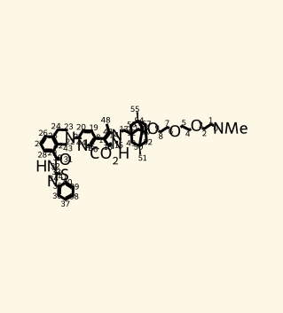 CNCCOCCOCCOC12CC3(Cn4ncc(-c5ccc(N6CCc7cccc(C(=O)Nc8nc9ccccc9s8)c7C6)nc5C(=O)O)c4C)C[C@@](C)(C1)C[C@](C)(C3)C2